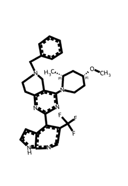 CO[C@@H]1CCN(c2nc(-c3c(C(F)(F)F)cnc4[nH]ccc34)nc3c2CN(Cc2ccccc2)CC3)[C@H](C)C1